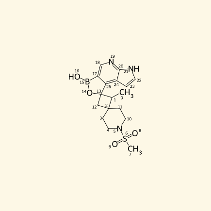 CC1C2(CCN(S(C)(=O)=O)CC2)CC12OB(O)c1cnc3[nH]ccc3c12